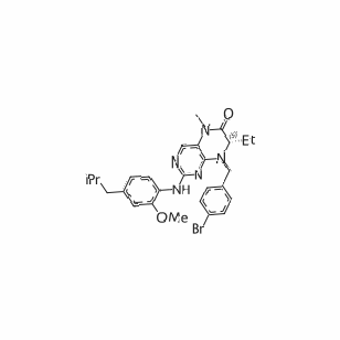 CC[C@H]1C(=O)N(C)c2cnc(Nc3ccc(CC(C)C)cc3OC)nc2N1Cc1ccc(Br)cc1